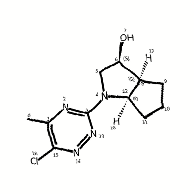 Cc1nc(N2C[C@@H](O)[C@H]3CCC[C@H]32)nnc1Cl